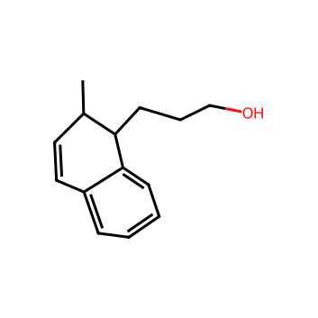 CC1C=Cc2ccccc2C1CCCO